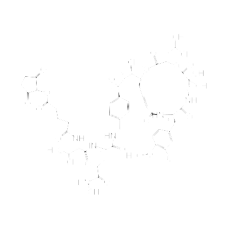 CNC(=O)CC[C@H](NC(=O)[C@@H](NC(=O)CCCC(=O)OC1C(=O)CCC1=O)C(C)C)C(=O)NCc1ccc([C@H]2O[C@@H]2[C@@H](C)[C@@H]2C/C=C/C(=O)N[C@H](Cc3ccc(OC)c(Cl)c3)C(=O)NCC(C)(C)C(=O)O[C@@H](CC(C)C)C(=O)O2)cc1